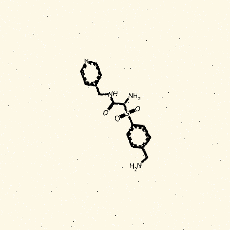 NCc1ccc(S(=O)(=O)C(N)C(=O)NCc2ccncc2)cc1